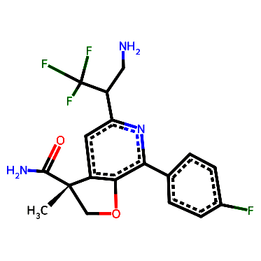 C[C@]1(C(N)=O)COc2c1cc(C(CN)C(F)(F)F)nc2-c1ccc(F)cc1